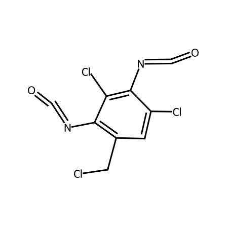 O=C=Nc1c(Cl)cc(CCl)c(N=C=O)c1Cl